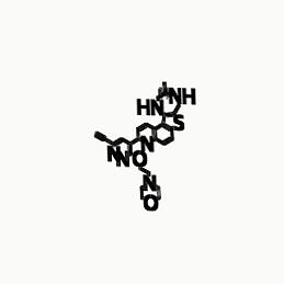 C#Cc1cc(-c2ccc3c(ccc4sc5c(c43)NC[C@@H](C)NC5)n2)c(OCCN2CCOCC2)nn1